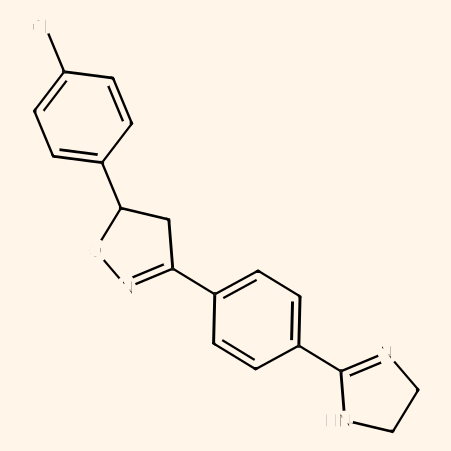 Clc1ccc(C2CC(c3ccc(C4=NCCN4)cc3)=NO2)cc1